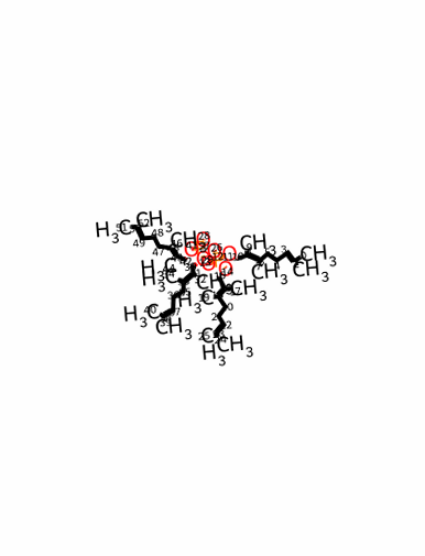 CC(C)=CCC/C(C)=C(\C)COP(=O)(OC/C(C)=C(\C)CCC=C(C)C)OP(=O)(OC/C(C)=C(\C)CCC=C(C)C)OC/C(C)=C(\C)CCC=C(C)C